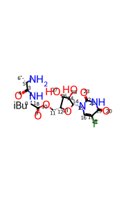 CC[C@H](C)[C@H](NC(=O)[C@H](C)N)C(=O)OC[C@H]1O[C@@H](n2cc(F)c(=O)[nH]c2=O)[C@H](O)[C@@H]1O